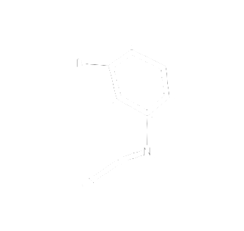 [B]c1cccc(N=C=S)c1